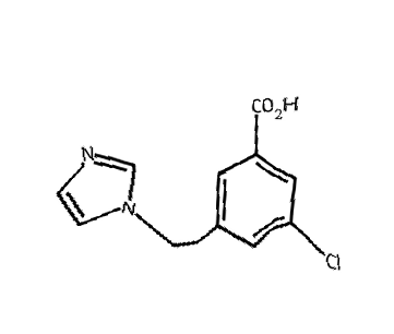 O=C(O)c1cc(Cl)cc(Cn2ccnc2)c1